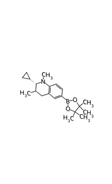 CC1Cc2cc(B3OC(C)(C)C(C)(C)O3)ccc2N(C)[C@H]1C1CC1